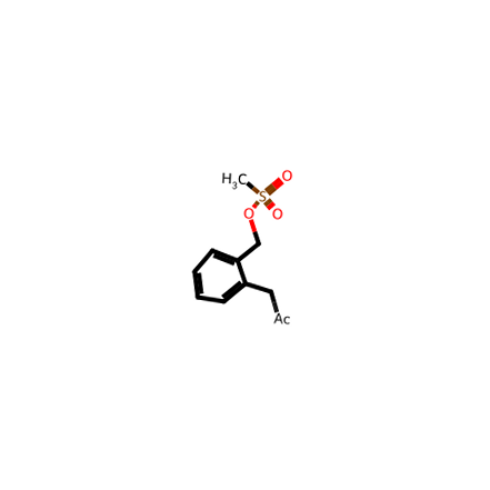 CC(=O)Cc1ccccc1COS(C)(=O)=O